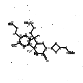 COC[C@H]1C[C@H](N2C=C(C(C)(C)CCC(=O)O)[C@](C)(c3ccc(CCC(C)(C)C)c(Cl)c3)NC2=O)C1